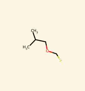 CC(C)COC[S]